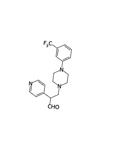 O=CC(CN1CCN(c2cccc(C(F)(F)F)c2)CC1)c1ccncc1